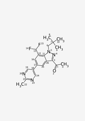 CC(=O)c1nn(CC(C)(C)C)c2c(C(F)F)cc(-c3cnc(C)nc3)cc12